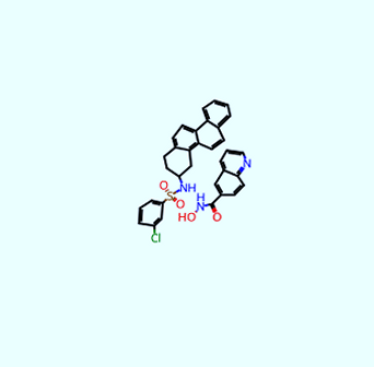 O=C(NO)c1ccc2ncccc2c1.O=S(=O)(NC1CCc2ccc3c(ccc4ccccc43)c2C1)c1cccc(Cl)c1